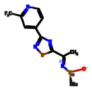 CCCC[S@+]([O-])/N=C(\C)c1nc(-c2ccnc(C(F)(F)F)c2)ns1